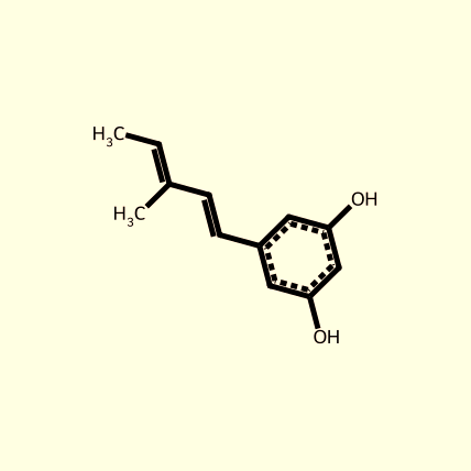 C/C=C(C)/C=C/c1cc(O)cc(O)c1